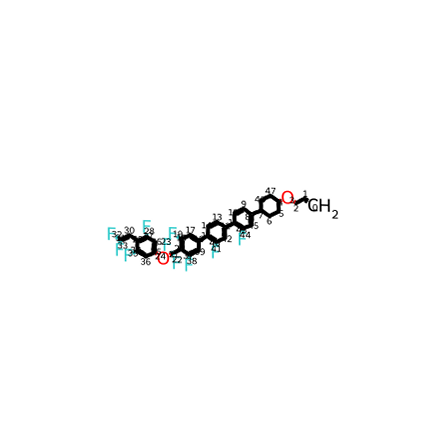 C=CCOC1CCC(c2ccc(-c3ccc(-c4cc(F)c(C(F)(F)Oc5cc(F)c(C=C(F)F)c(F)c5)c(F)c4)c(F)c3)c(F)c2)CC1